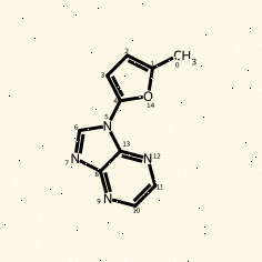 Cc1ccc(-n2cnc3nccnc32)o1